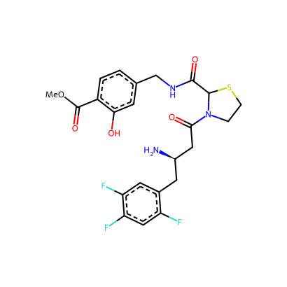 COC(=O)c1ccc(CNC(=O)C2SCCN2C(=O)C[C@H](N)Cc2cc(F)c(F)cc2F)cc1O